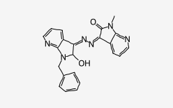 CN1C(=O)/C(=N\N=C2\c3cccnc3N(Cc3ccccc3)C2O)c2cccnc21